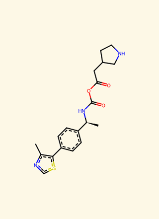 Cc1ncsc1-c1ccc([C@H](C)NC(=O)OC(=O)CC2CCNC2)cc1